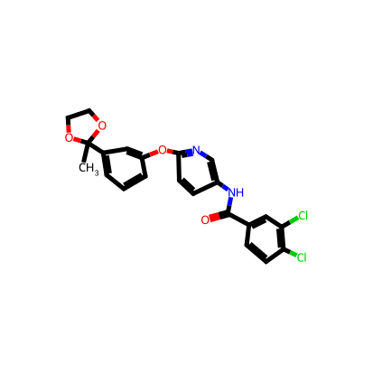 CC1(c2cccc(Oc3ccc(NC(=O)c4ccc(Cl)c(Cl)c4)cn3)c2)OCCO1